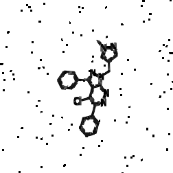 Cn1cc(Cn2nc(-c3ccccc3)c3c(Cl)c(-c4ccccc4)nnc32)cn1